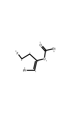 CCC(=O)OC(=CC(C)C)CCF